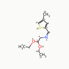 CCOC(C/N=C\c1cc(C)cs1)OCC